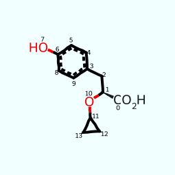 O=C(O)[C@H](Cc1ccc(O)cc1)OC1CC1